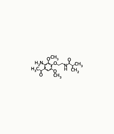 C=C(C)C(=O)NCCOc1c(OC)cc(C(C)=O)c(N)c1OC